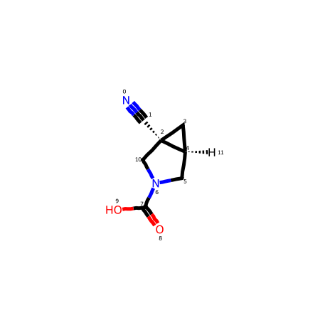 N#C[C@]12C[C@H]1CN(C(=O)O)C2